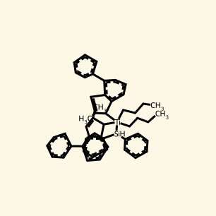 CCC[CH2][Ti]([CH2]CCC)([CH]1C(C)=Cc2c(-c3ccccc3)cccc21)([CH]1C(C)=Cc2c(-c3ccccc3)cccc21)[SiH](c1ccccc1)c1ccccc1